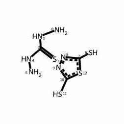 NNC(=S)NN.Sc1nnc(S)s1